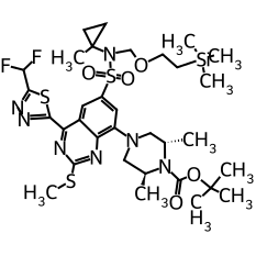 CSc1nc(-c2nnc(C(F)F)s2)c2cc(S(=O)(=O)N(COCC[Si](C)(C)C)C3(C)CC3)cc(N3C[C@H](C)N(C(=O)OC(C)(C)C)[C@@H](C)C3)c2n1